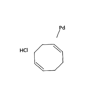 C1=CCCC=CCC1.Cl.[CH3][Pd]